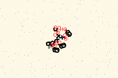 CC1C2CCC(C2)C1CC(C)(CC(C)(CC(C)(CC(C)(C)C(=O)OC12CC3CC(CC(O)(C3)C1)C2)C(=O)OC1CCOC1=O)C(=O)OC1(C)C2CC3CC(C2)CC1C3)C(=O)OC1(C(C)C)C2CC3CC(C2)CC1C3